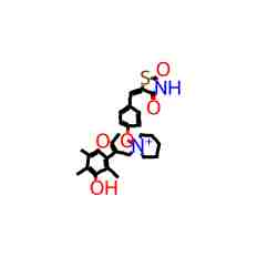 Cc1oc2c(C)c(C)c(O)c(C)c2c1C[N+]1(Oc2ccc(C=C3SC(=O)NC3=O)cc2)CCCCC1